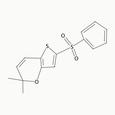 CC1(C)C=Cc2sc(S(=O)(=O)c3ccccc3)cc2O1